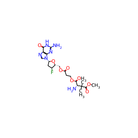 COC(=O)C(C)(C)[C@H](N)C(=O)OCCC(=O)OC[C@H]1O[C@@H](n2cnc3c(=O)[nH]c(N)nc32)C[C@@H]1F